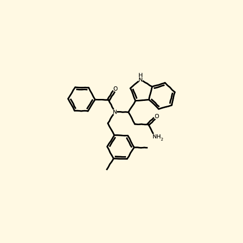 Cc1cc(C)cc(CN(C(=O)c2ccccc2)C(CC(N)=O)c2c[nH]c3ccccc23)c1